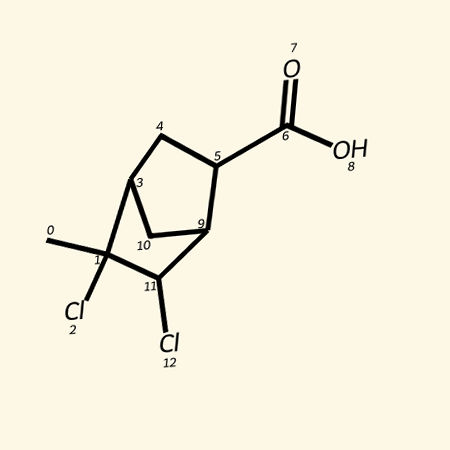 CC1(Cl)C2CC(C(=O)O)C(C2)C1Cl